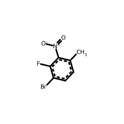 Cc1ccc(Br)c(F)c1[N+](=O)[O-]